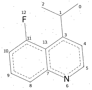 CC(C)c1ccnc2cccc(F)c12